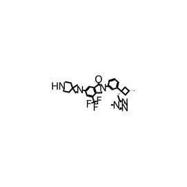 Cn1cnnc1C[C@]1(c2cccc(N3Cc4c(cc(N5CC6(CCNCC6)C5)cc4C(F)(F)F)C3=O)c2)C[C@H](C)C1